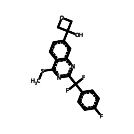 CSc1nc(C(F)(F)c2ccc(F)cc2)nc2cc(C3(O)COC3)ccc12